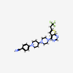 N#Cc1ccc(N2CCC(N3CCN(c4ncnc5sc(CC(F)(F)F)cc45)CC3)CC2)cc1